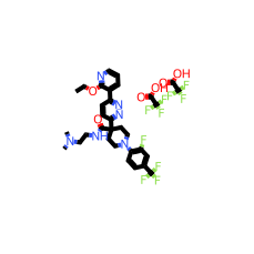 CCOc1ncccc1-c1ccc(C2(C(=O)NCCN(C)C)CCN(c3ccc(C(F)(F)F)cc3F)CC2)nn1.O=C(O)C(F)(F)F.O=C(O)C(F)(F)F